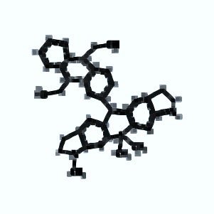 CN1CCc2cc3c(cc21)S(C)(C)c1cc2c(cc1=C3c1ccc3c(CO)c4ccccc4c(CO)c3c1)CCN=2